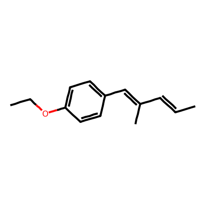 C/C=C/C(C)=C/c1ccc(OCC)cc1